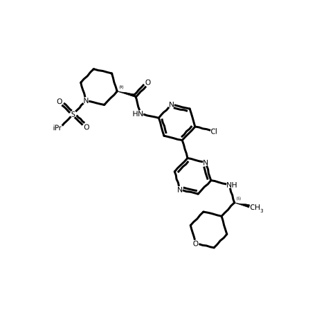 CC(C)S(=O)(=O)N1CCC[C@@H](C(=O)Nc2cc(-c3cncc(N[C@@H](C)C4CCOCC4)n3)c(Cl)cn2)C1